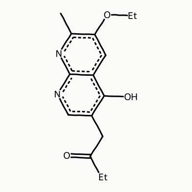 CCOc1cc2c(O)c(CC(=O)CC)cnc2nc1C